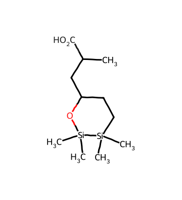 CC(CC1CC[Si](C)(C)[Si](C)(C)O1)C(=O)O